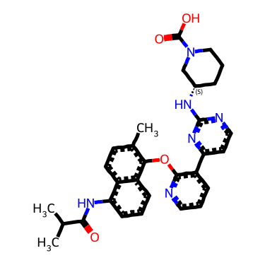 Cc1ccc2c(NC(=O)C(C)C)cccc2c1Oc1ncccc1-c1ccnc(N[C@H]2CCCN(C(=O)O)C2)n1